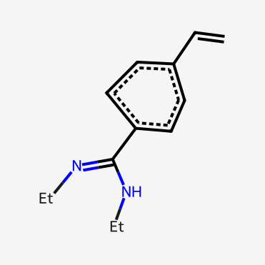 C=Cc1ccc(C(=NCC)NCC)cc1